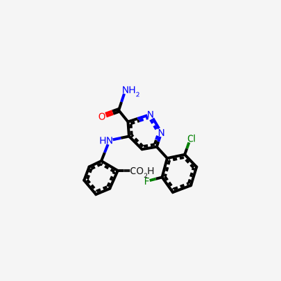 NC(=O)c1nnc(-c2c(F)cccc2Cl)cc1Nc1ccccc1C(=O)O